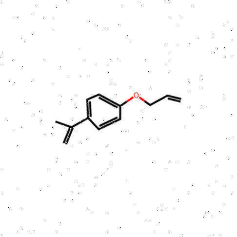 C=CCOc1ccc(C(=C)C)cc1